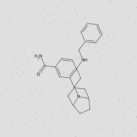 NC(=O)c1cccc(C2CC3CCC(C2)N3CCCNCc2ccccc2)c1